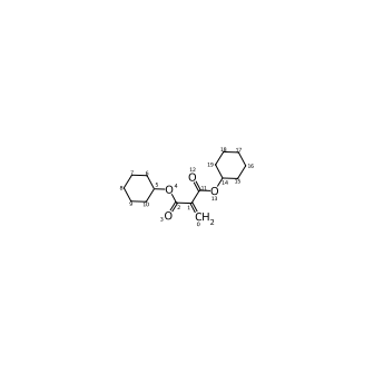 C=C(C(=O)OC1CCCCC1)C(=O)OC1CCCCC1